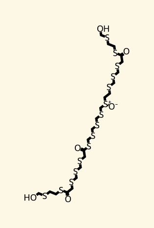 O=C(CSCSCSCC[S+]([O-])CSCSCSCSC(=O)CSCSCSCC(=O)SCCSCO)SCCSCO